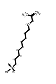 C=C(C)COCCCCCCCCC[Si](I)(I)I